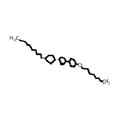 CCCCCCCCCC[C@H]1CC[C@H](C2C=CC(c3ccc(OCCCCCCCC)cc3)=CC2)CC1